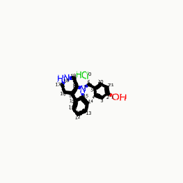 Cl.Oc1ccc(Cn2c3c(c4ccccc42)CCNC3)cc1